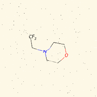 FC(F)(F)CN1CCOCC1